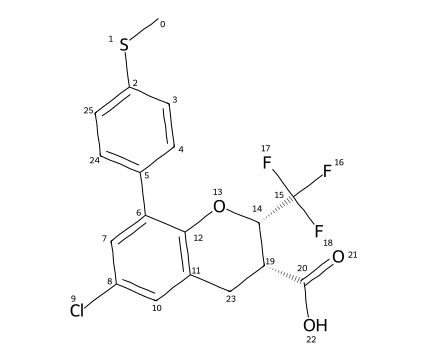 CSc1ccc(-c2cc(Cl)cc3c2O[C@H](C(F)(F)F)[C@H](C(=O)O)C3)cc1